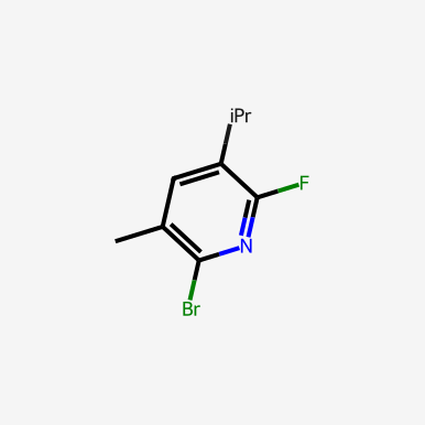 Cc1cc(C(C)C)c(F)nc1Br